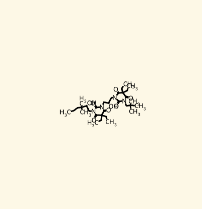 CCCC(C)(C)C(O)CN1C(=O)N(CC(O)CN2C(=O)N(CC(C)(C)C)C(=O)C(CC)(CC)C2=O)C(=O)C(CC)(CC)C1=O